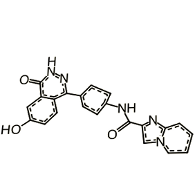 O=C(Nc1ccc(-c2n[nH]c(=O)c3cc(O)ccc23)cc1)c1cn2ccccc2n1